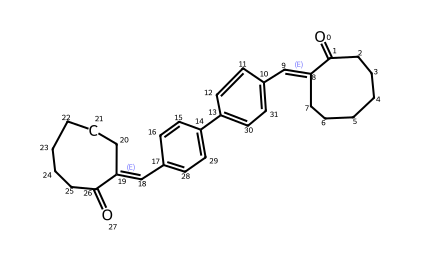 O=C1CCCCCC/C1=C\c1ccc(-c2ccc(/C=C3\CCCCCCC3=O)cc2)cc1